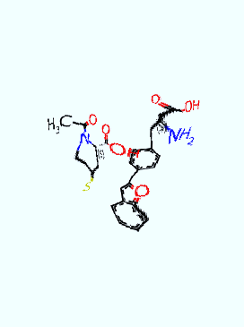 CC(=O)N1CC(=S)C[C@H]1C(=O)O.N[C@@H](Cc1ccc(-c2cc3ccccc3o2)cc1)C(=O)O